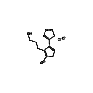 OCCCC1=[C]([Zr+2])CC=C1C1=CC=CC1.[Cl-].[Cl-]